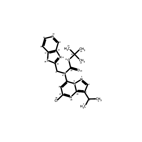 CC(C)c1cnn2c(N(Cc3nc4cnccc4s3)C(=O)OC(C)(C)C)cc(Cl)nc12